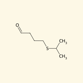 CC(C)SCCCC=O